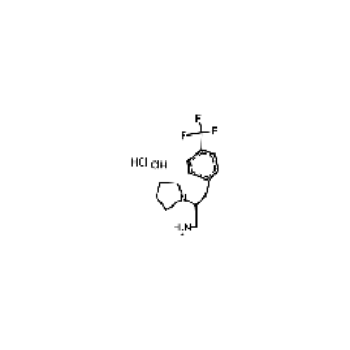 Cl.Cl.NCC(Cc1ccc(C(F)(F)F)cc1)N1CCCC1